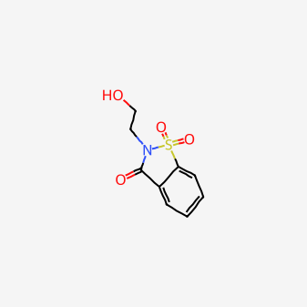 O=C1c2ccccc2S(=O)(=O)N1CCO